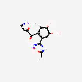 Cc1nc(-c2cc(O)c(O)c([N+](=O)[O-])c2C(=O)c2ccno2)no1